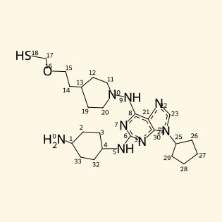 NC1CCC(Nc2nc(NN3CCC(CCOCS)CC3)c3ncn(C4CCCC4)c3n2)CC1